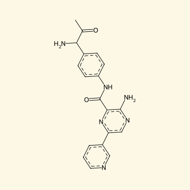 CC(=O)C(N)c1ccc(NC(=O)c2nc(-c3cccnc3)cnc2N)cc1